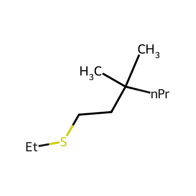 CCCC(C)(C)CCSCC